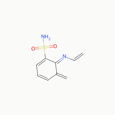 C=C/N=C1\C(=C)C=CC=C1S(N)(=O)=O